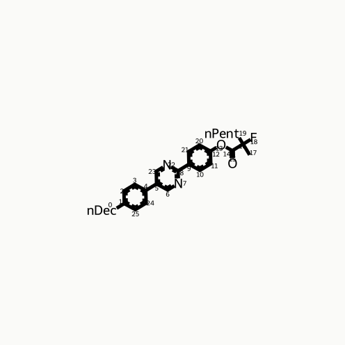 CCCCCCCCCCc1ccc(-c2cnc(-c3ccc(OC(=O)C(C)(F)CCCCC)cc3)nc2)cc1